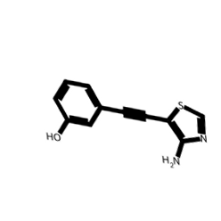 Nc1ncsc1C#Cc1cccc(O)c1